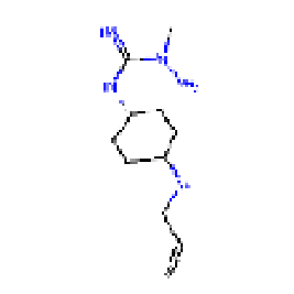 C=CCN[C@H]1CC[C@H](NC(=N)N(C)N)CC1